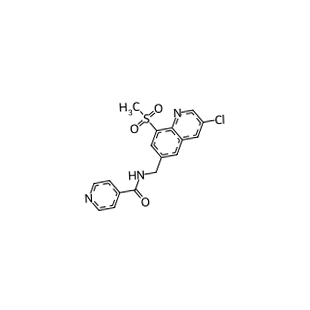 CS(=O)(=O)c1cc(CNC(=O)c2ccncc2)cc2cc(Cl)cnc12